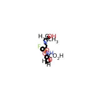 CC(C)(O)C1CCN(C/C=C\c2cc(F)ccc2S(=O)(=O)Nc2ccc3c(c2C(=O)O)OC[C@@H]2C[C@H]32)C1